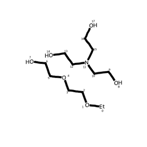 CCOCCOCCO.OCCN(CCO)CCO